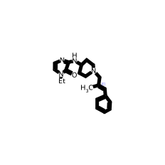 CCn1ccnc(NC2CCN(C/C(C)=C/c3ccccc3)CC2)c1=O